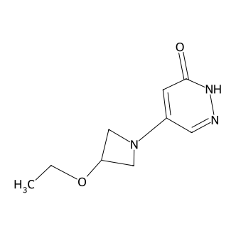 CCOC1CN(c2cn[nH]c(=O)c2)C1